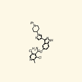 Cc1ncc(Cl)c([C@@H](N)Oc2ccc3[nH]nc(-c4cnn(C5CCN(C(C)C)CC5)c4)c3c2)c1Cl